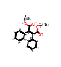 CCCCOC(=O)C(=C(C(=O)OCCCC)c1ccccc1)c1ccccc1